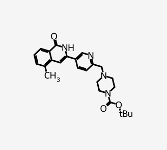 Cc1cccc2c(=O)[nH]c(-c3ccc(CN4CCN(C(=O)OC(C)(C)C)CC4)nc3)cc12